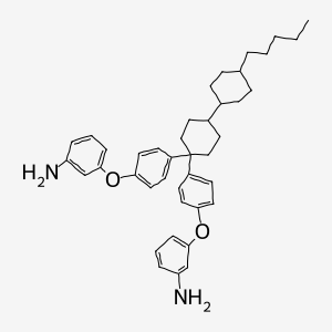 CCCCCC1CCC(C2CCC(c3ccc(Oc4cccc(N)c4)cc3)(c3ccc(Oc4cccc(N)c4)cc3)CC2)CC1